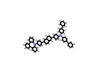 c1ccc(-c2ccc(N(c3ccc(-c4ccccc4)cc3)c3ccc(-c4ccc5cc(-c6ccc(N7c8ccccc8-c8ccccc8-c8ccccc87)cc6)ccc5c4)cc3)cc2)cc1